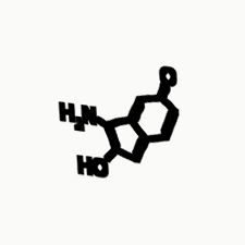 NC1=C(O)C=C2C=CC(=O)C=C21